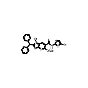 CCc1cnc(NC(=O)c2cc3c(nc2OC)nc(C(c2ccccc2)c2ccccc2)n3CC)o1